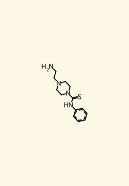 NCCN1CCN(C(=S)Nc2ccccc2)CC1